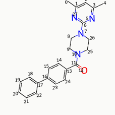 Cc1cc(C)nc(N2CCN(C(=O)c3ccc(-c4ccccc4)cc3)CC2)n1